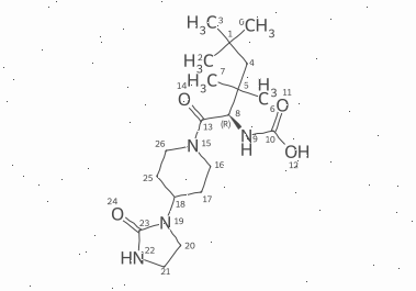 CC(C)(C)CC(C)(C)[C@@H](NC(=O)O)C(=O)N1CCC(N2CCNC2=O)CC1